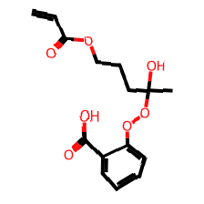 C=CC(=O)OCCCC(C)(O)OOc1ccccc1C(=O)O